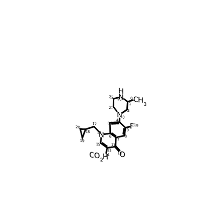 CC1CN(c2cc3c(cc2F)c(=O)c(C(=O)O)cn3CC2CC2)CCN1